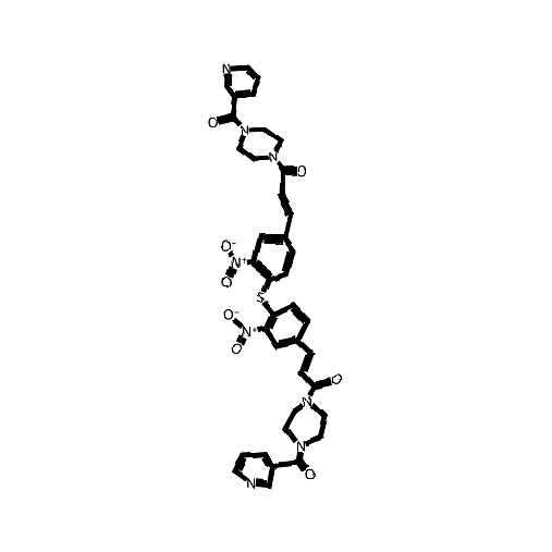 O=C(/C=C/c1ccc(Sc2ccc(/C=C/C(=O)N3CCN(C(=O)c4cccnc4)CC3)cc2[N+](=O)[O-])c([N+](=O)[O-])c1)N1CCN(C(=O)c2cccnc2)CC1